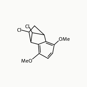 COc1ccc(OC)c2c1C1CC(Cl)C2C1Cl